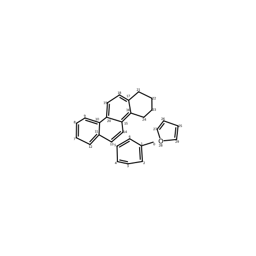 Cc1ccccc1.c1ccc2c(c1)ccc1c3c(ccc12)CCCC3.c1ccoc1